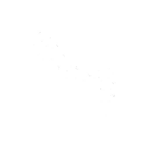 COC(=O)Nc1nc(C)c(S(=O)(=O)N2CCN(C[C@H](C)Nc3ncnc4c(C(F)(F)F)csc34)CC2)s1